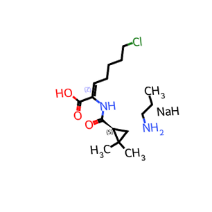 CC1(C)C[C@@H]1C(=O)N/C(=C\CCCCCl)C(=O)O.CCCN.[NaH]